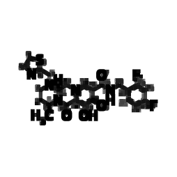 C[C@H]1CCN(Cc2nccs2)[C@@H]2Cn3cc(C(=O)NCc4ccc(F)cc4F)c(=O)c(O)c3C(=O)N12